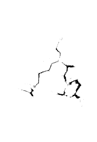 N=C(N)NCCC[C@H](C(=O)O)N(CCN)C(=O)Cn1ccc(=O)[nH]c1=S